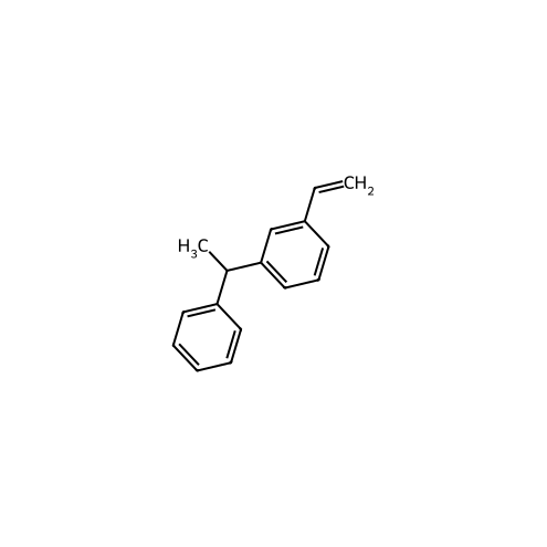 C=Cc1cccc(C(C)c2ccccc2)c1